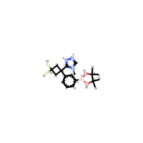 Cn1cnnc1C1(c2cccc(B3OC(C)(C)C(C)(C)O3)c2)CC(F)(F)C1